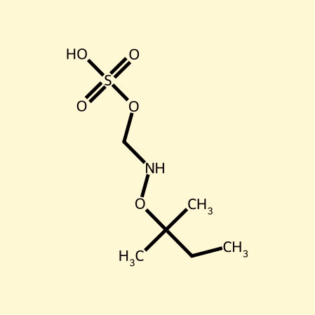 CCC(C)(C)ONCOS(=O)(=O)O